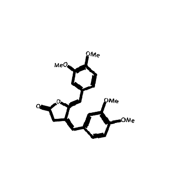 COc1ccc(C=C2CC(=O)OC2=Cc2ccc(OC)c(OC)c2)cc1OC